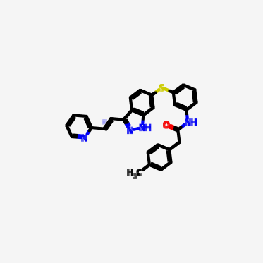 Cc1ccc(CC(=O)Nc2cccc(Sc3ccc4c(/C=C/c5ccccn5)n[nH]c4c3)c2)cc1